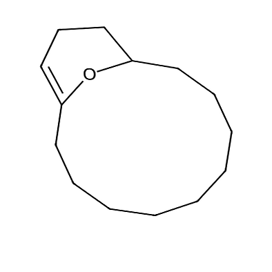 C1=C2CCCCCCCCCC(CC1)O2